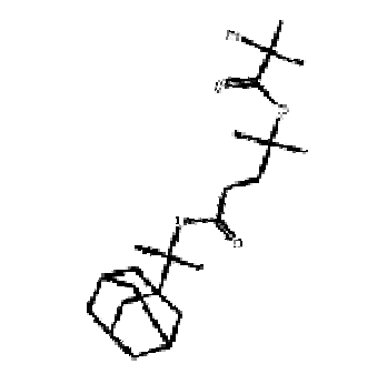 CCC(C)(C)C(=O)OC(C)(C)CCC(=O)OC(C)(C)C12CC3CC(CC(C3)C1)C2